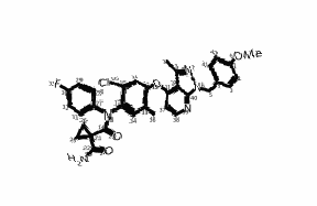 COc1ccc(Cn2nc(C)c3c(Oc4cc(Cl)c(N(C(=O)C5(C(N)=O)CC5)c5ccc(F)cc5)cc4C)ccnc32)cc1